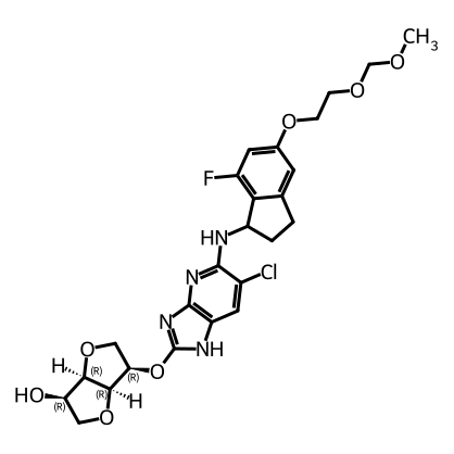 COCOCCOc1cc(F)c2c(c1)CCC2Nc1nc2nc(O[C@@H]3CO[C@H]4[C@@H]3OC[C@H]4O)[nH]c2cc1Cl